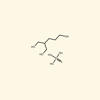 OCCCC(CO)CO.OP(O)(O)=S